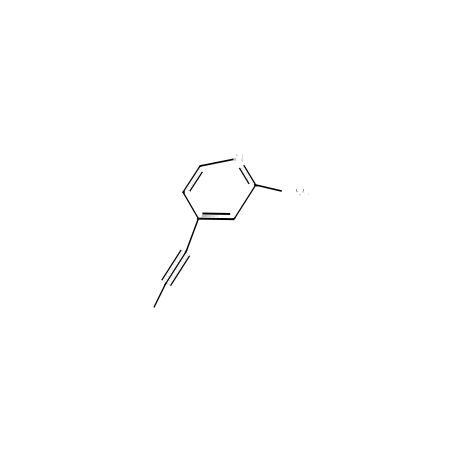 [CH2]C#Cc1ccnc(OC)c1